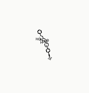 C[C@@H](CC(CS(=O)(=O)N1CCN(c2ccc(C#C[Si](C)(C)C)cc2)CC1)NO)c1ccccc1